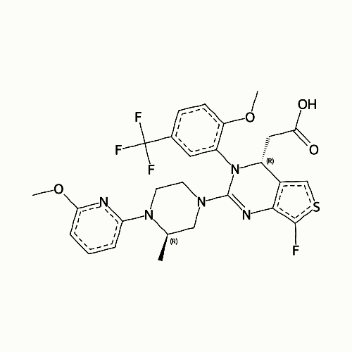 COc1cccc(N2CCN(C3=Nc4c(csc4F)[C@@H](CC(=O)O)N3c3cc(C(F)(F)F)ccc3OC)C[C@H]2C)n1